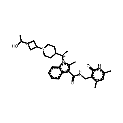 Cc1cc(C)c(CNC(=O)c2c(C)n([C@H](C)C3CCN(C4CN(C(C)O)C4)CC3)c3ccccc23)c(=O)[nH]1